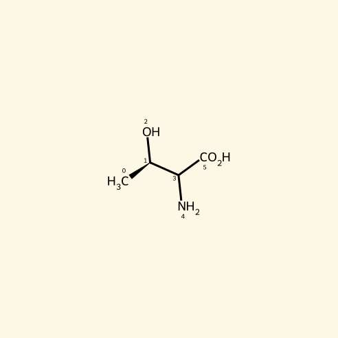 C[C@@H](O)C(N)C(=O)O